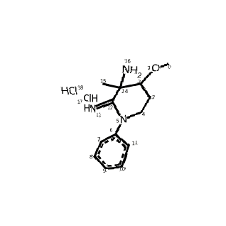 COC1CCN(c2ccccc2)C(=N)C1(C)N.Cl.Cl